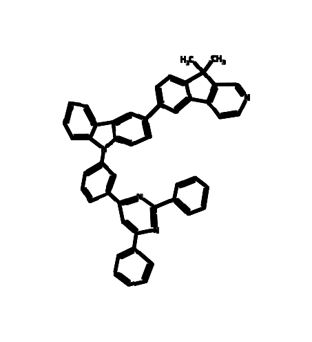 CC1(C)c2ccc(-c3ccc4c(c3)c3ccccc3n4-c3cccc(-c4cc(-c5ccccc5)nc(-c5ccccc5)n4)c3)cc2-c2ccncc21